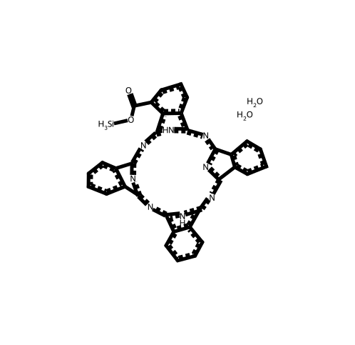 O.O.O=C(O[SiH3])c1cccc2c3nc4nc(nc5[nH]c(nc6nc(nc([nH]3)c12)-c1ccccc1-6)c1ccccc51)-c1ccccc1-4